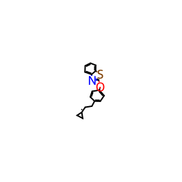 c1ccc2sc(Oc3ccc(CC[C]4CC4)cc3)nc2c1